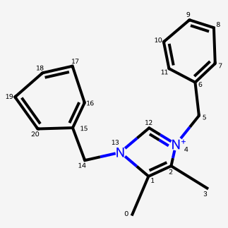 Cc1c(C)[n+](Cc2ccccc2)cn1Cc1ccccc1